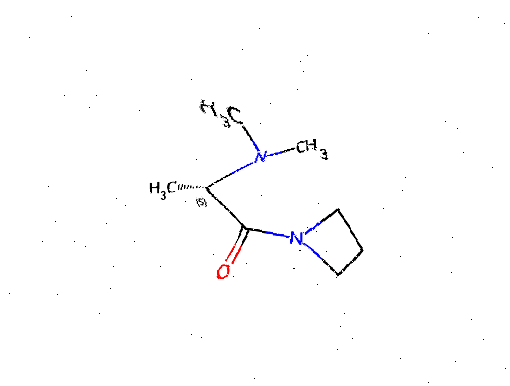 C[C@@H](C(=O)N1CCC1)N(C)C